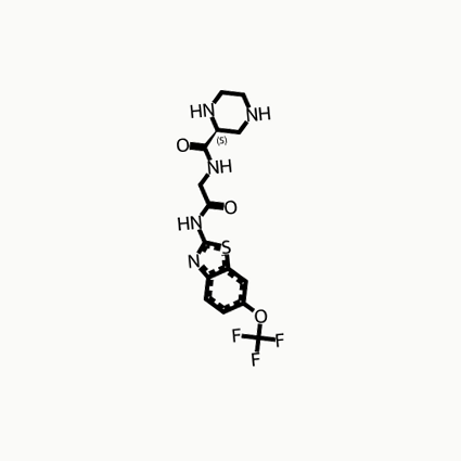 O=C(CNC(=O)[C@@H]1CNCCN1)Nc1nc2ccc(OC(F)(F)F)cc2s1